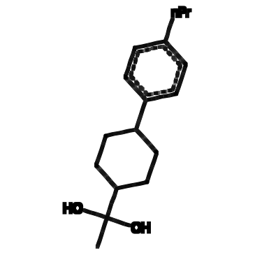 CCCc1ccc(C2CCC(C(C)(O)O)CC2)cc1